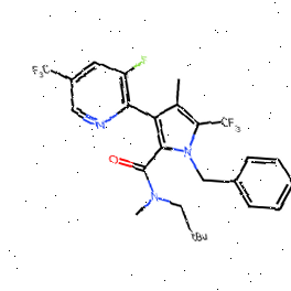 Cc1c(-c2ncc(C(F)(F)F)cc2F)c(C(=O)N(C)CC(C)(C)C)n(Cc2ccccc2)c1C(F)(F)F